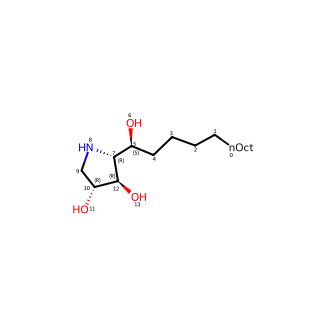 CCCCCCCCCCCC[C@H](O)[C@H]1NC[C@@H](O)[C@@H]1O